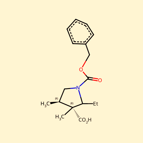 CCC1N(C(=O)OCc2ccccc2)C[C@H](C)[C@@]1(C)C(=O)O